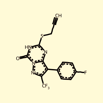 C#CCSc1nc2c(-c3ccc(F)cc3)c(C(F)(F)F)nn2c(=O)[nH]1